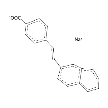 O=C([O-])c1ccc(C=Cc2ccc3ccccc3c2)cc1.[Na+]